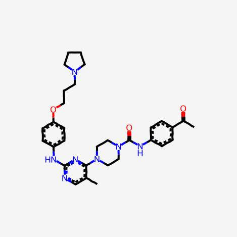 CC(=O)c1ccc(NC(=O)N2CCN(c3nc(Nc4ccc(OCCCN5CCCC5)cc4)ncc3C)CC2)cc1